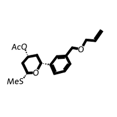 C=CCOCc1cccc([C@H]2C[C@@H](OC(C)=O)C[C@@H](SC)O2)c1